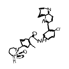 Cc1cc(N2CCCNS2(=O)=O)ccc1C(=O)Nc1ccc(Cl)c(-c2ccc3ncccc3n2)c1